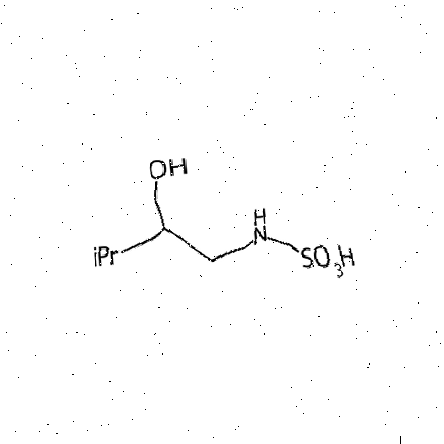 CC(C)C(O)CNS(=O)(=O)O